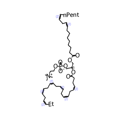 CC/C=C\C/C=C\C/C=C\C/C=C\C/C=C\C/C=C\CCC(=O)O[C@H](COC(=O)CCCCCCC/C=C\C/C=C\CCCCC)COP(=O)([O-])OCC[N+](C)(C)C